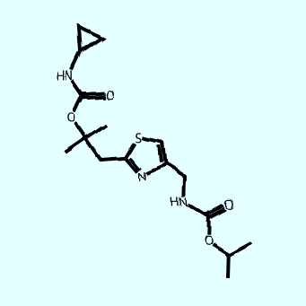 CC(C)OC(=O)NCc1csc(CC(C)(C)OC(=O)NC2CC2)n1